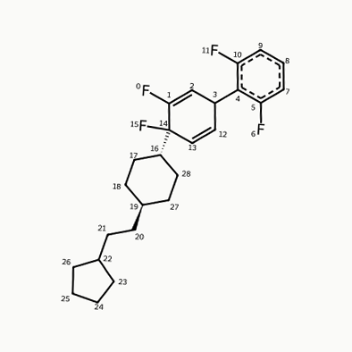 FC1=CC(c2c(F)cccc2F)C=CC1(F)[C@H]1CC[C@H](CCC2CCCC2)CC1